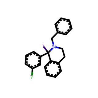 Fc1cccc(C2(I)c3ccccc3CCN2Cc2ccccc2)c1